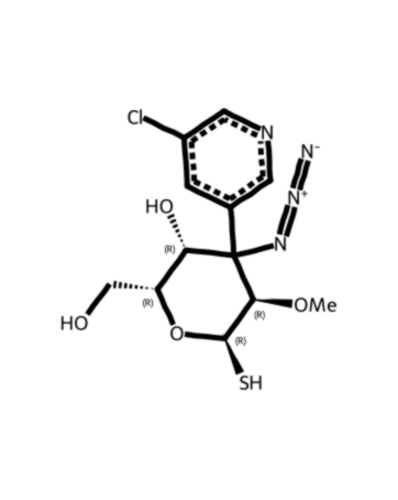 CO[C@H]1[C@@H](S)O[C@H](CO)[C@H](O)C1(N=[N+]=[N-])c1cncc(Cl)c1